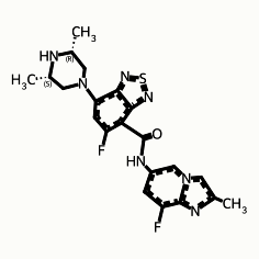 Cc1cn2cc(NC(=O)c3c(F)cc(N4C[C@@H](C)N[C@@H](C)C4)c4nsnc34)cc(F)c2n1